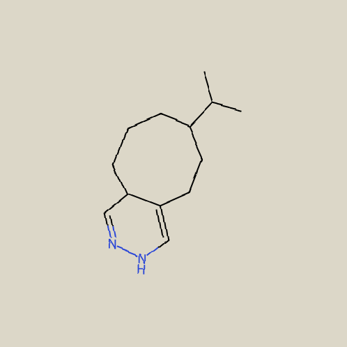 CC(C)C1CCCC2C=NNC=C2CC1